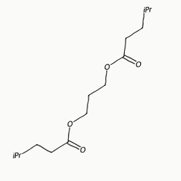 CC(C)CCC(=O)OCCCOC(=O)CCC(C)C